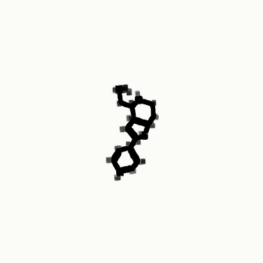 NCC1OCCc2sc(-c3ccncc3)cc21